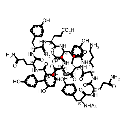 CC(=O)N[C@@H](Cc1ccc(O)cc1)C(=O)N[C@@H](CCC(N)=O)C(=O)N[C@@H](CCCCN)C(=O)N[C@@H](Cc1ccc(O)cc1)C(=O)N[C@@H](CCC(N)=O)C(=O)N[C@@H](Cc1ccc(O)cc1)C(=O)N[C@@H](CCC(N)=O)C(=O)N[C@@H](Cc1ccc(O)cc1)C(=O)N[C@@H](CCC(=O)O)C(=O)N[C@@H](CCC(N)=O)C(=O)N[C@@H](Cc1ccc(O)cc1)C(=O)O